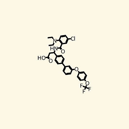 CCN(CC)c1ccc(Cl)cc1C(=O)NC(CC(=O)O)c1ccc(-c2cccc(Oc3ccc(OC(F)(F)F)cc3)c2)cc1